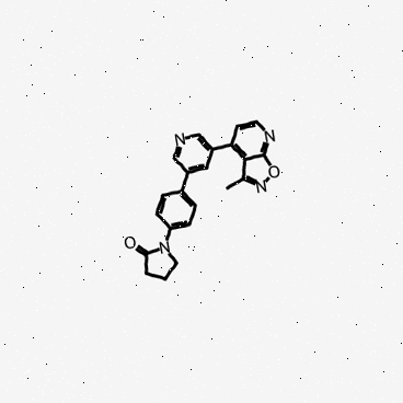 Cc1noc2nccc(-c3cncc(-c4ccc(N5CCCC5=O)cc4)c3)c12